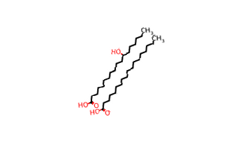 CCCCCCC(O)CCCCCCCCCCC(=O)O.CCCCCCCCCCCCCCCCCC(=O)O